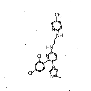 Cc1cn(-c2ccc(NCCNc3ccc(C(F)(F)F)cn3)nc2-c2ccc(Cl)cc2Cl)cn1